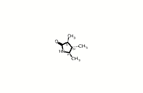 C[C@H]1[C@H](C)C(=O)N[C@@H]1C